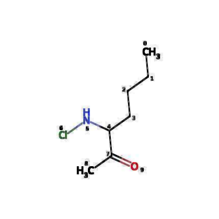 CCCCC(NCl)C(C)=O